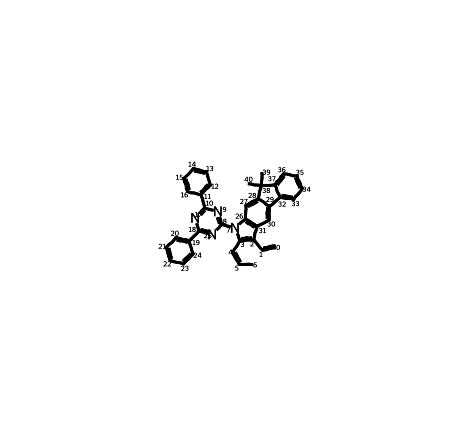 C=Cc1c(/C=C\C)n(-c2nc(-c3ccccc3)nc(-c3ccccc3)n2)c2cc3c(cc12)-c1ccccc1C3(C)C